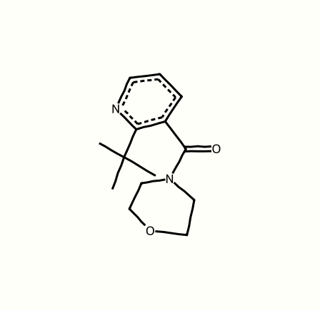 CC(C)(C)c1ncccc1C(=O)N1CCOCC1